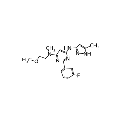 COCCN(C)c1cc(Nc2cc(C)[nH]n2)nc(-c2cccc(F)c2)n1